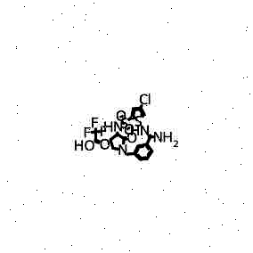 N=C(N)c1cccc(CN2CCC(NS(=O)(=O)c3cc(Cl)cs3)C2=O)c1.O=C(O)C(F)(F)F